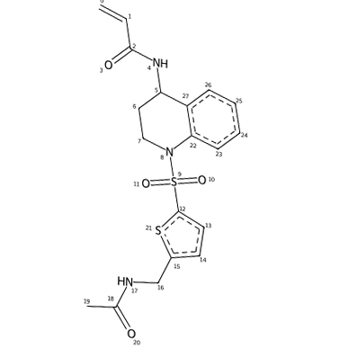 C=CC(=O)NC1CCN(S(=O)(=O)c2ccc(CNC(C)=O)s2)c2ccccc21